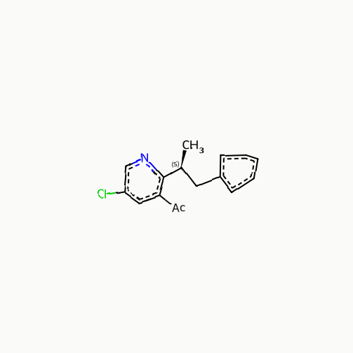 CC(=O)c1cc(Cl)cnc1[C@@H](C)Cc1ccccc1